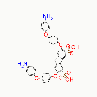 Nc1ccc(Oc2ccc(Oc3cc4c(cc3S(=O)(=O)O)-c3cc(S(=O)(=O)O)c(Oc5ccc(Oc6ccc(N)cc6)cc5)cc3C4)cc2)cc1